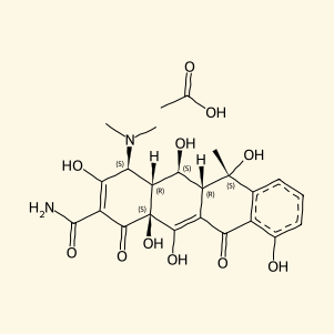 CC(=O)O.CN(C)[C@@H]1C(O)=C(C(N)=O)C(=O)[C@@]2(O)C(O)=C3C(=O)c4c(O)cccc4[C@@](C)(O)[C@H]3[C@H](O)[C@@H]12